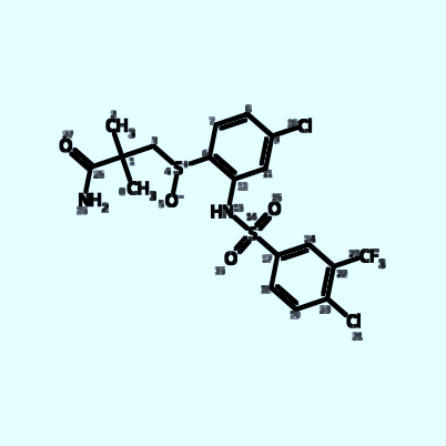 CC(C)(C[S+]([O-])c1ccc(Cl)cc1NS(=O)(=O)c1ccc(Cl)c(C(F)(F)F)c1)C(N)=O